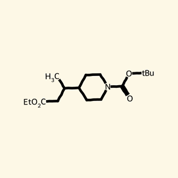 CCOC(=O)CC(C)C1CCN(C(=O)OC(C)(C)C)CC1